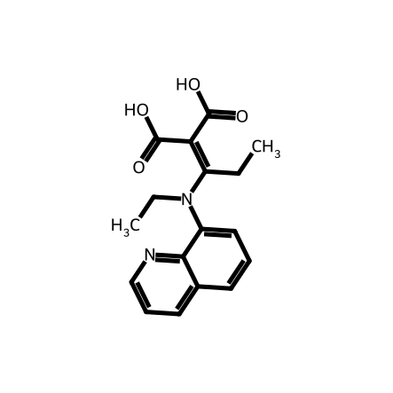 CCC(=C(C(=O)O)C(=O)O)N(CC)c1cccc2cccnc12